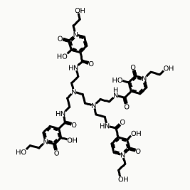 O=C(NCCN(CCNC(=O)c1ccn(CCO)c(=O)c1O)CCN(CCNC(=O)c1ccn(CCO)c(=O)c1O)CCNC(=O)c1ccn(CCO)c(=O)c1O)c1ccn(CCO)c(=O)c1O